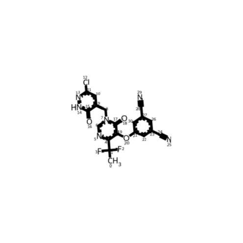 CC(F)(F)c1ncn(Cc2cc(Cl)n[nH]c2=O)c(=O)c1Oc1cc(C#N)cc(C#N)c1